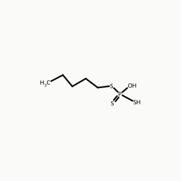 CCCCCSP(O)(=S)S